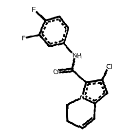 O=C(Nc1ccc(F)c(F)c1)c1c(Cl)cc2n1CCC=C2